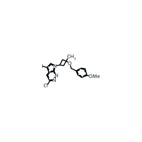 COc1ccc(COC2(C)CC(n3cc(I)c4cc(Cl)nnc43)C2)cc1